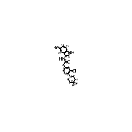 O=C(Cc1cnc(N2CCC(F)(F)CC2)c(Cl)c1)Nc1c[nH]c2ccc(Br)cc12